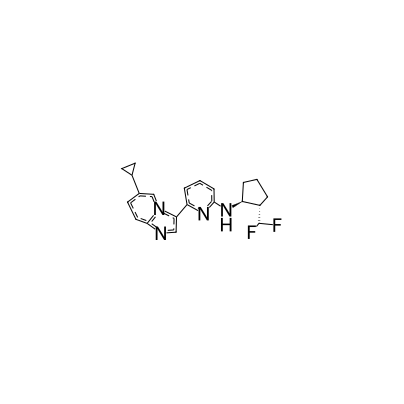 FC(F)[C@H]1CCC[C@@H]1Nc1cccc(-c2cnc3ccc(C4CC4)cn23)n1